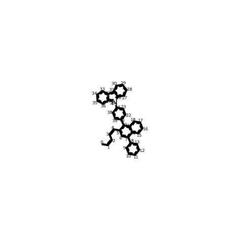 C/C=C\C=C/c1cc(-c2ccccc2)c2ccccc2c1-c1ccc(-n2c3ccccc3c3ccccc32)cc1